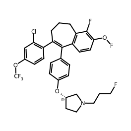 FCCCN1CC[C@H](Oc2ccc(C3=C(c4ccc(OC(F)(F)F)cc4Cl)CCCc4c3ccc(OF)c4F)cc2)C1